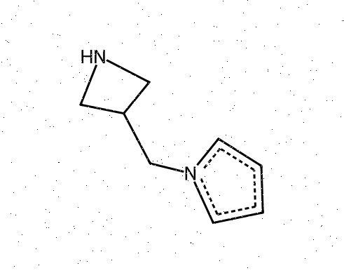 c1ccn(CC2CNC2)c1